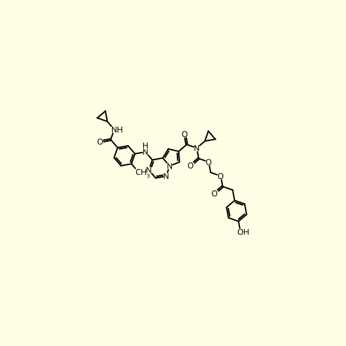 Cc1ccc(C(=O)NC2CC2)cc1Nc1ncnn2cc(C(=O)N(C(=O)OCOC(=O)Cc3ccc(O)cc3)C3CC3)cc12